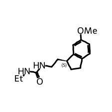 CCNC(=O)NCC[C@@H]1CCc2ccc(OC)cc21